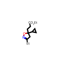 CCOC(=O)CCC1(C2CC2)CC(CC)=NO1